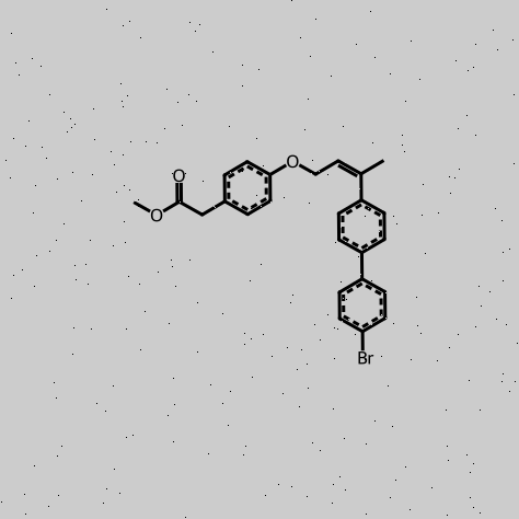 COC(=O)Cc1ccc(OC/C=C(/C)c2ccc(-c3ccc(Br)cc3)cc2)cc1